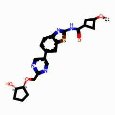 CCOC1CC(C(=O)Nc2nc3ccc(-c4cnc(CO[C@H]5CCC[C@@H]5O)nc4)cc3s2)C1